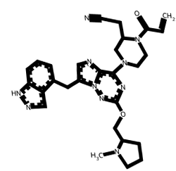 C=CC(=O)N1CCN(c2nc(OCC3CCCN3C)nn3c(Cc4cccc5[nH]ncc45)cnc23)CC1CC#N